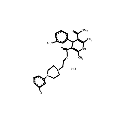 COC(=O)C1=C(C)NC(C)=C(C(=O)OCCN2CCN(c3cccc(Cl)c3)CC2)C1c1cccc([N+](=O)[O-])c1.Cl